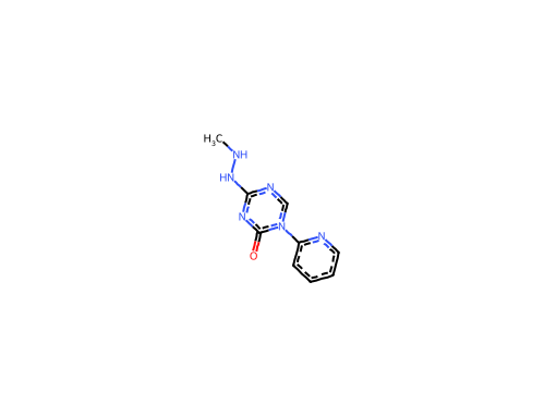 CNNc1ncn(-c2ccccn2)c(=O)n1